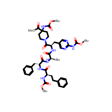 CCCC[C@@H](NC(=O)[C@@H](Cc1ccccc1)NC(=O)[C@@H](CCc1ccccc1)NC(=O)OC(C)(C)C)C(=O)N[C@H](Cc1cnc(NC(=O)OC(C)(C)C)nc1)C(=O)N1CCC(NC(=O)OC(C)(C)C)(C(=O)OC)CC1